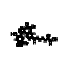 CCNC(=O)c1noc(-c2cc(C(C)C)c(O)cc2O)c1-c1ccc(NCCCCC(=O)NO)cc1